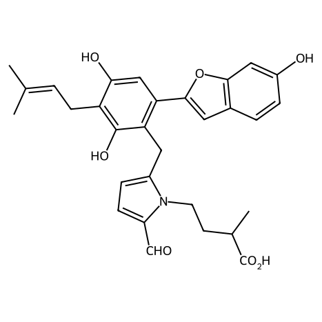 CC(C)=CCc1c(O)cc(-c2cc3ccc(O)cc3o2)c(Cc2ccc(C=O)n2CCC(C)C(=O)O)c1O